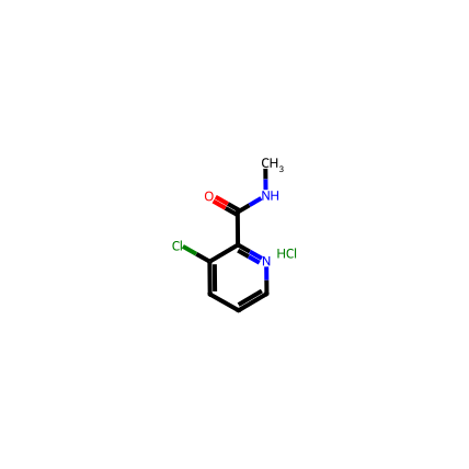 CNC(=O)c1ncccc1Cl.Cl